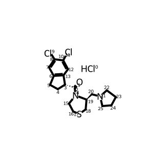 Cl.O=C([C@@H]1CCc2cc(Cl)c(Cl)cc21)N1CCSC[C@@H]1CN1CCCC1